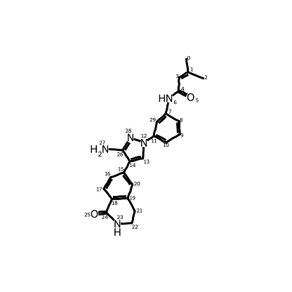 CC(C)=CC(=O)Nc1cccc(-n2cc(-c3ccc4c(c3)CCNC4=O)c(N)n2)c1